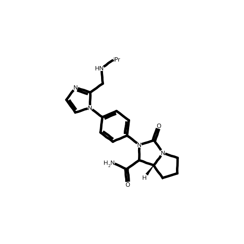 CC(C)NCc1nccn1-c1ccc(N2C(=O)N3CC[CH][C@@H]3C2C(N)=O)cc1